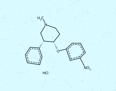 CN1CC[C@H](Oc2cccc([N+](=O)[O-])c2)[C@H](c2ccccc2)C1.Cl